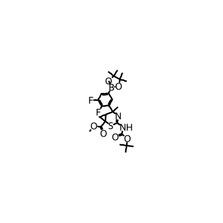 COC(=O)C12CC1C(C)(c1cc(B3OC(C)(C)C(C)(C)O3)cc(F)c1F)N=C(NC(=O)OC(C)(C)C)S2